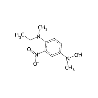 CCN(C)c1ccc(N(C)O)cc1[N+](=O)[O-]